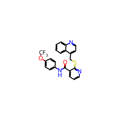 O=C(Nc1ccc(OC(F)(F)F)cc1)c1cccnc1SCc1ccnc2ccccc12